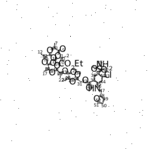 CCOC(=O)[C@H](C)OC(=O)[C@H](C)OC(=O)[C@H](C)OC(=O)[C@H](C)OC(=O)[C@H](C)OC(=O)[C@H](C)OC(=O)COC(=O)c1cc(S(N)(=O)=O)c(Cl)cc1NCc1ccco1